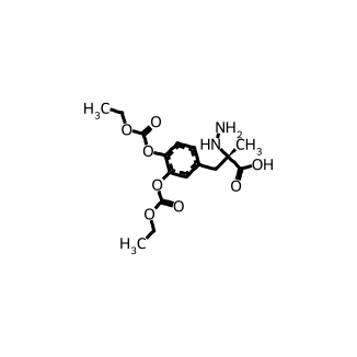 CCOC(=O)Oc1ccc(C[C@](C)(NN)C(=O)O)cc1OC(=O)OCC